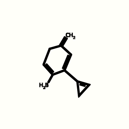 BC1=CCC(=C)C=C1C1=CC1